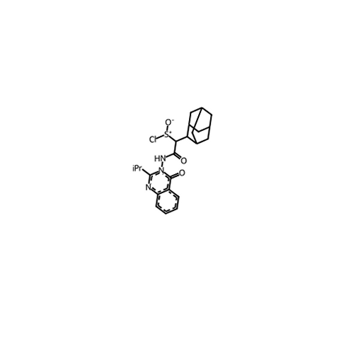 CC(C)c1nc2ccccc2c(=O)n1NC(=O)C(C1C2CC3CC(C2)CC1C3)[S+]([O-])Cl